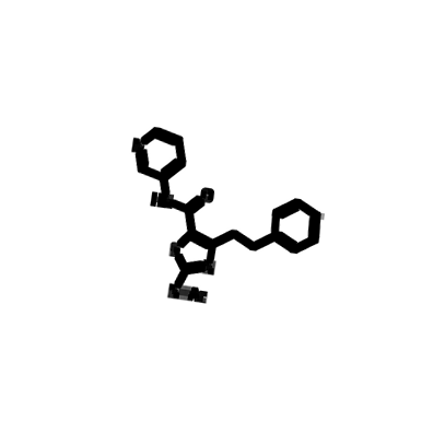 CC(=O)Nc1nc(CCc2cc[c]cc2)c(C(=O)Nc2cccnc2)s1